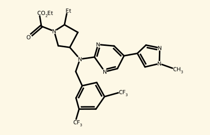 CCOC(=O)C(=O)N1CC(N(Cc2cc(C(F)(F)F)cc(C(F)(F)F)c2)c2ncc(-c3cnn(C)c3)cn2)CC1CC